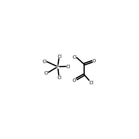 ClP(Cl)(Cl)(Cl)Cl.O=C(Cl)C(=O)Cl